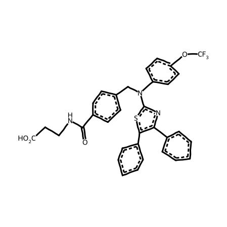 O=C(O)CCNC(=O)c1ccc(CN(c2ccc(OC(F)(F)F)cc2)c2nc(-c3ccccc3)c(-c3ccccc3)s2)cc1